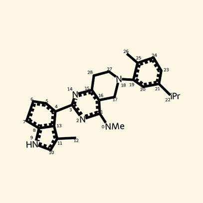 CNc1nc(-c2cccc3[nH]cc(C)c23)nc2c1CN(c1cc(C(C)C)ccc1C)CC2